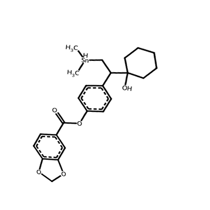 [CH3][SnH]([CH3])[CH2]C(c1ccc(OC(=O)c2ccc3c(c2)OCO3)cc1)C1(O)CCCCC1